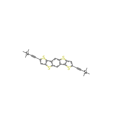 C[Si](C)(C)C#Cc1cc2sc3cc4c(cc3c2s1)sc1cc(C#C[Si](C)(C)C)sc14